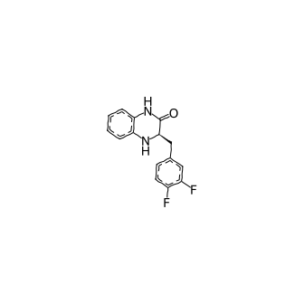 O=C1Nc2ccccc2N[C@@H]1Cc1ccc(F)c(F)c1